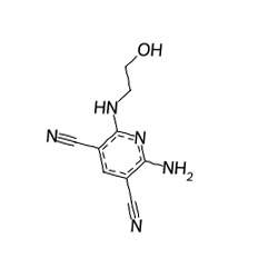 N#Cc1cc(C#N)c(NCCO)nc1N